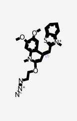 COc1cc2c(cc1OC)N(C)C(OCCN=[N+]=[N-])=C/C2=C/c1sc2ccccc2[n+]1C